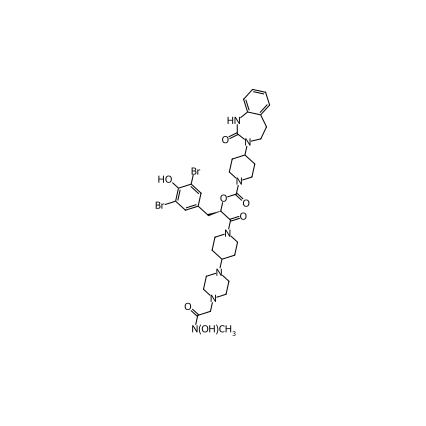 CN(O)C(=O)CN1CCN(C2CCN(C(=O)[C@@H](Cc3cc(Br)c(O)c(Br)c3)OC(=O)N3CCC(N4CCc5ccccc5NC4=O)CC3)CC2)CC1